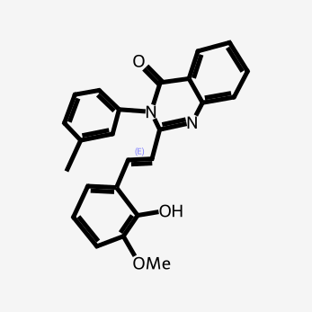 COc1cccc(/C=C/c2nc3ccccc3c(=O)n2-c2cccc(C)c2)c1O